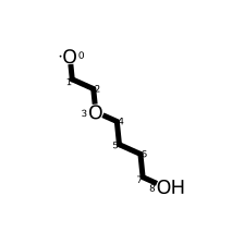 [O]CCOCCCCO